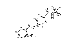 CS(=O)(=O)NC(=O)c1ccc(OCc2ccccc2F)cc1